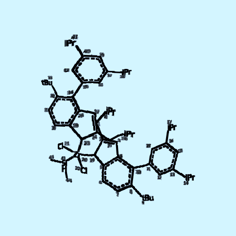 CC(C)CC1=Cc2c(ccc(C(C)(C)C)c2-c2cc(C(C)C)cc(C(C)C)c2)[CH]1[Zr]([Cl])([Cl])([CH]1C(CC(C)C)=Cc2c1ccc(C(C)(C)C)c2-c1cc(C(C)C)cc(C(C)C)c1)[SiH](C)C